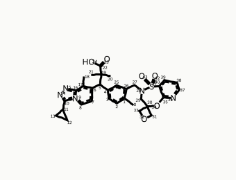 Cc1ccc(C(c2ccn3c(C4CC4)nnc3c2C)C(C)(C)C(=O)O)cc1CN1CC2(COC2)Oc2ncccc2S1(=O)=O